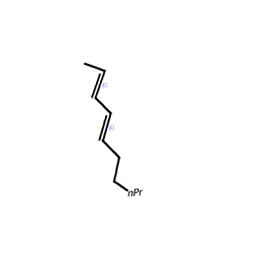 C/C=[C]/C=C/CCCCC